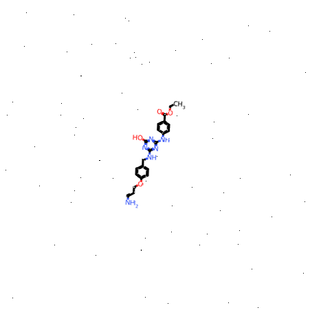 CCOC(=O)c1ccc(Nc2nc(O)nc(NCc3ccc(OCCCN)cc3)n2)cc1